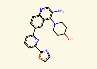 Nc1cnc2ccc(-c3cccc(-c4nccs4)n3)cc2c1N1CCC(O)CC1